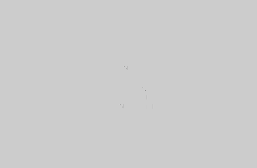 CC(N)c1ncccn1.Cl.Cl